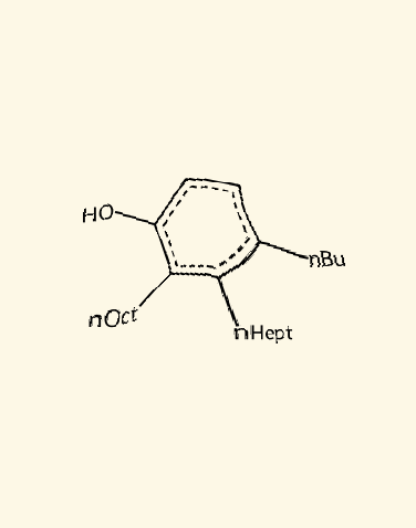 CCCCCCCCc1c(O)ccc(CCCC)c1CCCCCCC